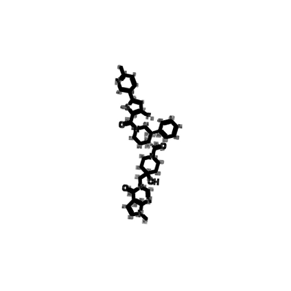 Cc1ccc(-c2cc(F)c(C(=O)N3CC[C@@H](C(=O)N4CCC(O)(Cn5cnc6c(ccn6C)c5=O)CC4)[C@H](c4ccccc4)C3)s2)cn1